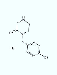 Cl.N#Cc1ccc(CN2CCNCC2=O)cc1